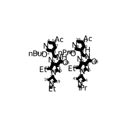 CCCCOc1ncc(C(C)=O)cc1-c1nc2c(CC)n(C3CN(CC)C3)nc2c(=O)[nH]1.CCCOc1ncc(C(C)=O)cc1-c1nc2c(CC)n(C3CN(C(C)C)C3)nc2c(=O)[nH]1